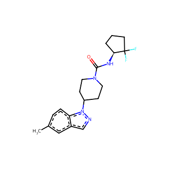 Cc1ccc2c(cnn2C2CCN(C(=O)N[C@H]3CCCC3(F)F)CC2)c1